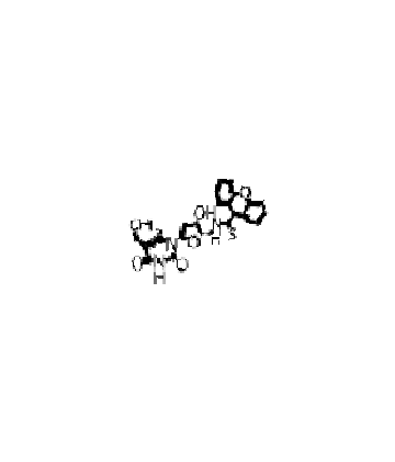 CCc1cn([C@H]2C[C@H](O)[C@@H](CNC(=S)C3c4ccccc4Oc4ccccc43)O2)c(=O)[nH]c1=O